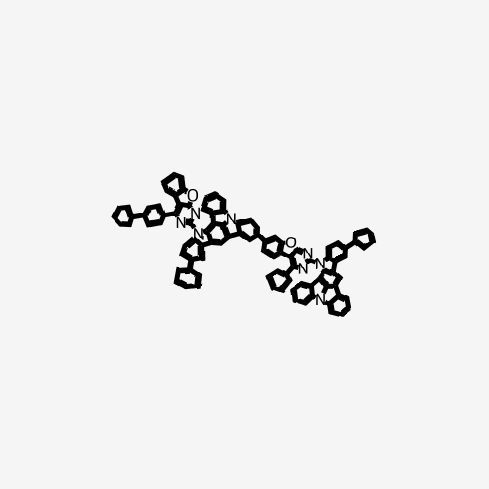 c1ccc(-c2ccc(-c3nc(-n4c5ccc(-c6ccccc6)cc5c5cc6c7cc(-c8ccc9c(c8)oc8nc(-n%10c%11ccc(-c%12ccccc%12)cc%11c%11cc%12c%13ccccc%13n%13c%14ccccc%14c(c%11%10)c%12%13)nc(-c%10ccccc%10)c89)ccc7n7c8ccccc8c(c54)c67)nc4oc5ccccc5c34)cc2)cc1